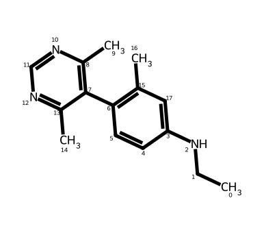 CCNc1ccc(-c2c(C)ncnc2C)c(C)c1